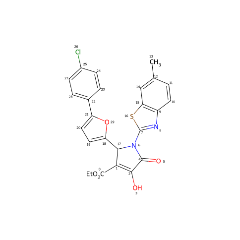 CCOC(=O)C1=C(O)C(=O)N(c2nc3ccc(C)cc3s2)C1c1ccc(-c2ccc(Cl)cc2)o1